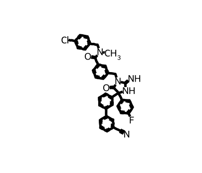 CN(Cc1ccc(Cl)cc1)C(=O)c1cccc(CN2C(=N)NC(c3ccc(F)cc3)(c3cccc(-c4cccc(C#N)c4)c3)C2=O)c1